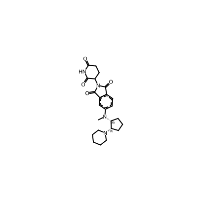 CN(c1ccc2c(c1)C(=O)N(C1CCC(=O)NC1=O)C2=O)[C@@H]1CCC[C@@H]1N1CCCCC1